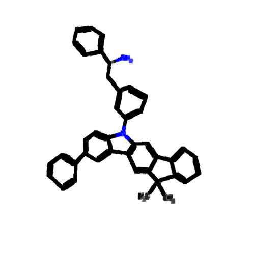 CC1(C)c2ccccc2-c2cc3c(cc21)c1cc(-c2ccccc2)ccc1n3-c1cccc(C[C@@H](N)c2ccccc2)c1